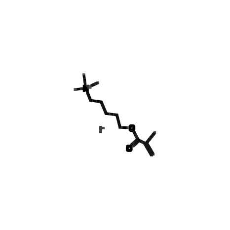 C=C(C)C(=O)OCCCCC[N+](C)(C)C.[I-]